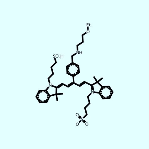 CCOCCCNCc1ccc(C(=C\C=C2\N(CCCCS(=O)(=O)O)c3ccccc3C2(C)C)/C=C/C2=[N+](CCCCS(=O)(=O)[O-])c3ccccc3C2(C)C)cc1